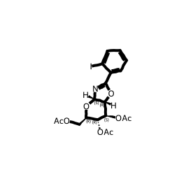 CC(=O)OC[C@H]1O[C@@H]2N=C(c3ccccc3I)O[C@@H]2[C@@H](OC(C)=O)[C@@H]1OC(C)=O